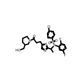 CC(c1ncc(CCC(=O)N2CCCC(CO)C2)s1)N(c1cc(F)ccc1F)S(=O)(=O)c1ccc(Cl)cc1